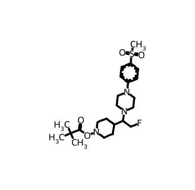 CC(C)(C)C(=O)ON1CCC(C(CF)N2CCN(c3ccc(S(C)(=O)=O)cc3)CC2)CC1